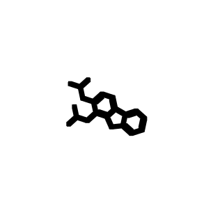 CC(C)Cc1ccc2c(c1CC(C)C)Cc1ccccc1-2